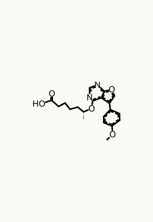 COc1ccc(-c2coc3ncnc(O[C@H](C)CCCCC(=O)O)c23)cc1